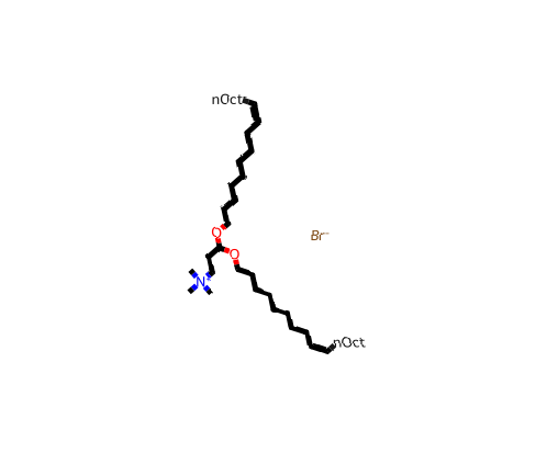 CCCCCCCC/C=C\CCCCCCCCOC(CC[N+](C)(C)C)OCCCCCCCC/C=C\CCCCCCCC.[Br-]